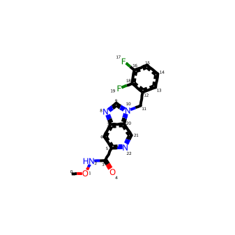 CONC(=O)c1cc2ncn(Cc3cccc(F)c3F)c2cn1